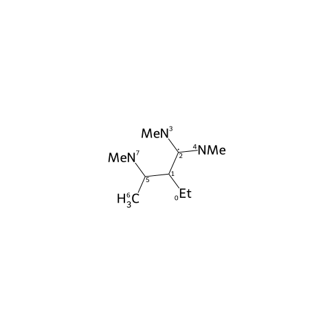 CCC([C](NC)NC)C(C)NC